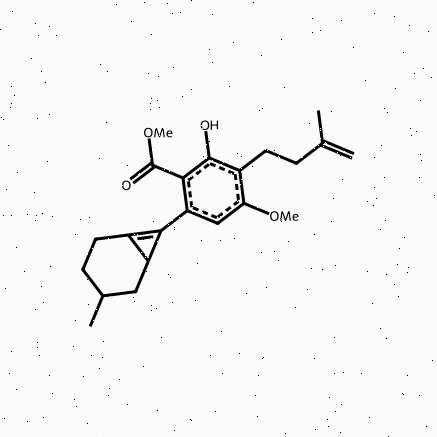 C=C(C)CCc1c(OC)cc(C2=C3CCC(C)CC32)c(C(=O)OC)c1O